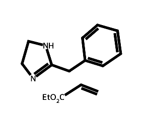 C=CC(=O)OCC.c1ccc(CC2=NCCN2)cc1